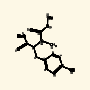 COC(=O)C(Cc1ccc(O)cc1)N(C)C(=O)OC(C)(C)C